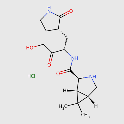 CC1(C)[C@@H]2[C@@H](C(=O)N[C@@H](C[C@@H]3CCNC3=O)C(=O)CO)NC[C@@H]21.Cl